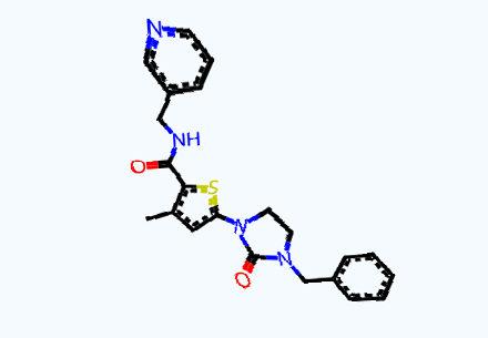 Cc1cc(N2CCN(Cc3ccccc3)C2=O)sc1C(=O)NCc1cccnc1